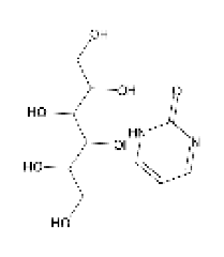 O=c1nccc[nH]1.OCC(O)C(O)C(O)C(O)CO